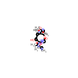 CCn1c(-c2cccnc2[C@H](C)OC)c2c3cc(ccc31)-c1cc(O)cc(c1)C[C@H](NC(=O)C(C(C)C)N(C)C(=O)[C@H]1CCN(C)C1)C(=O)N1CCC[C@H](N1)C(=O)OCC(C)(C)C2